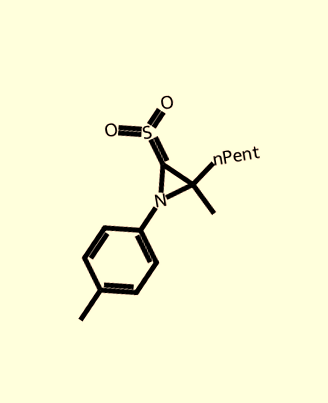 CCCCCC1(C)C(=S(=O)=O)N1c1ccc(C)cc1